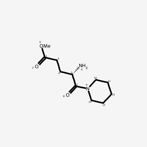 COC(=O)CC[C@H](N)C(=O)N1CCCCC1